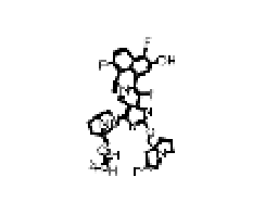 [2H]C([2H])([2H])OCC12CCC(CN(c3nc(OC[C@@]45CCCN4C[C@H](F)C5)nc4c(F)c(-c5cc(O)c(F)c6ccc(F)c(C#C)c56)ncc34)C1)N2